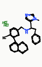 Cl.Cl.Cn1cncc1C(Cc1ccccc1)NCc1ccc(C#N)c(-c2cccc3ccccc23)c1